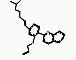 C=CCOc1cc(C=CCCCC(C)F)ccc1-c1ccc2ccccc2n1